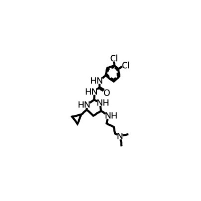 CN(C)CCCNC1CC(C2CC2)NC(NC(=O)Nc2ccc(Cl)c(Cl)c2)N1